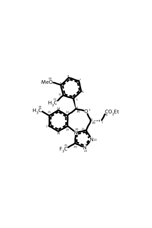 CCOC(=O)C[C@H]1O[C@H](c2cccc(OC)c2C)c2cc(C)ccc2-n2c1nnc2C(F)(F)F